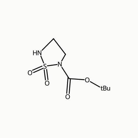 CC(C)(C)OC(=O)N1CCNS1(=O)=O